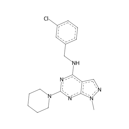 Cn1ncc2c(NCc3cccc(Cl)c3)nc(N3CCCCC3)nc21